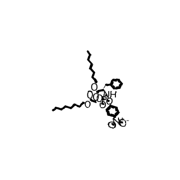 CCCCCCCCOC(=O)COP(=O)(N[C@@H](Cc1ccccc1)C(=O)OCCCCCCCC)Oc1ccc([N+](=O)[O-])cc1